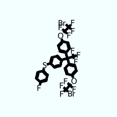 Fc1ccc(Sc2ccc(C(c3ccc(OC(F)(F)C(F)(F)Br)cc3)(c3ccc(OC(F)(F)C(F)(F)Br)cc3)C(F)(F)F)cc2)cc1